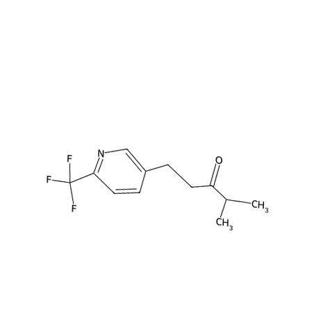 CC(C)C(=O)CCc1ccc(C(F)(F)F)nc1